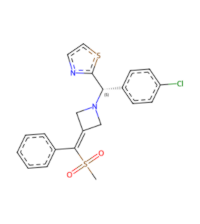 CS(=O)(=O)C(=C1CN([C@@H](c2ccc(Cl)cc2)c2nccs2)C1)c1ccccc1